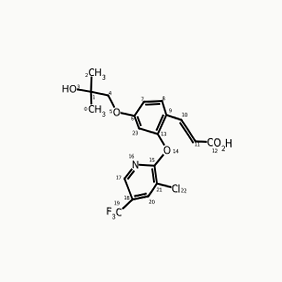 CC(C)(O)COc1ccc(C=CC(=O)O)c(Oc2ncc(C(F)(F)F)cc2Cl)c1